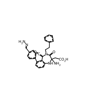 NN=Cc1ccc(-c2cccc3c2C(=C=O)N(CCc2ccccc2)C(=O)C(N)(CC(=O)O)N3)cc1